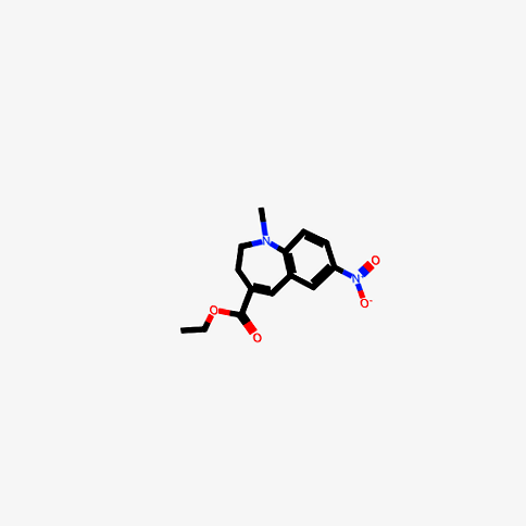 CCOC(=O)C1=Cc2cc([N+](=O)[O-])ccc2N(C)CC1